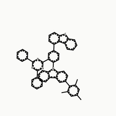 Cc1cc(C)c(-c2ccc3c(c2)c2ccccc2n3-c2ccc(-c3cccc4sc5ccccc5c34)cc2-c2nc(-c3ccccc3)nc(-c3ccccc3)n2)c(C)c1